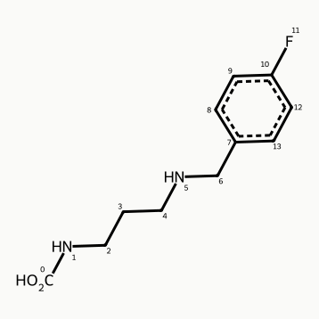 O=C(O)NCCCNCc1ccc(F)cc1